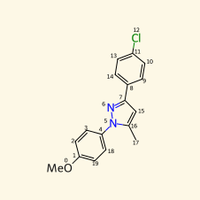 COc1ccc(-n2nc(-c3ccc(Cl)cc3)cc2C)cc1